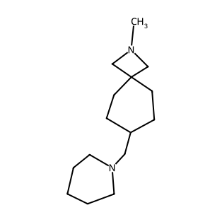 CN1CC2(CCC(CN3CCCCC3)CC2)C1